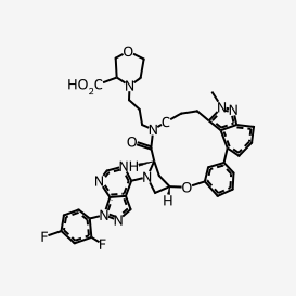 Cn1nc2cccc3c2c1CCCN(CCCN1CCOCC1C(=O)O)C(=O)[C@@H]1C[C@@H](CN1c1ncnc2c1cnn2-c1ccc(F)cc1F)Oc1cccc-3c1